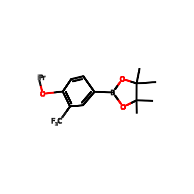 CC(C)Oc1ccc(B2OC(C)(C)C(C)(C)O2)cc1C(F)(F)F